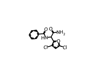 NC(=O)C(NC(=O)c1ccccc1)c1oc(Cl)cc1Cl